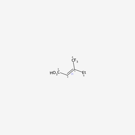 CC/C(=C/C(=O)O)C(F)(F)F